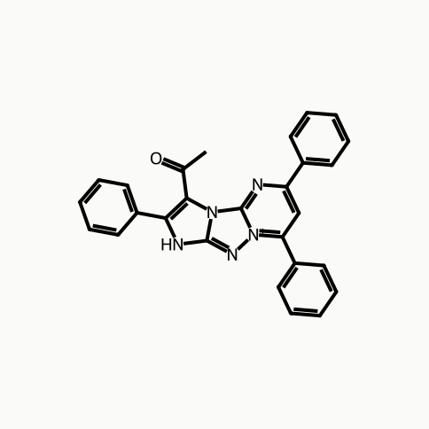 CC(=O)c1c(-c2ccccc2)[nH]c2n[n+]3c(-c4ccccc4)cc(-c4ccccc4)nc3n12